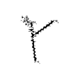 CCCCCCCCCCCCCCOCC(CNC(=O)OCCC(C)(C)OCN(C)OC)OCCCCCCCCCCCCCC